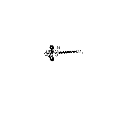 CCCCCCCCCCCCCCCCNC(=O)OCC(OC(=O)N(Cc1ccccn1)C(C)=O)C1CCCC1